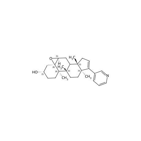 C[C@]12CC[C@H](O)C[C@@]13O[C@H]3CC1[C@]2(C)CC[C@]2(C)C(c3cccnc3)=CC[C@@]12C